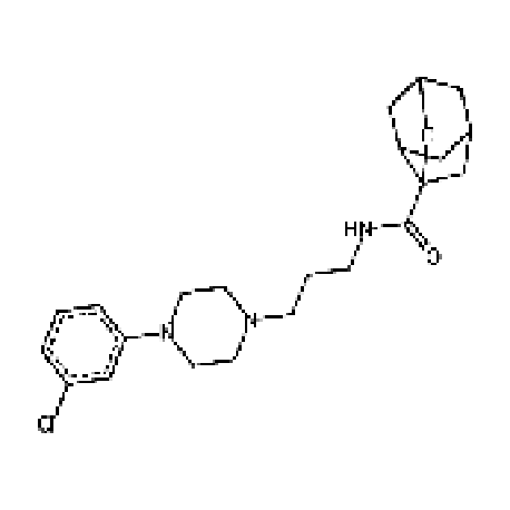 O=C(NCCCN1CCN(c2cccc(Cl)c2)CC1)C12CC3CC(CC1C3)C2